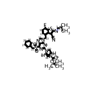 CN(C)/C=N/c1sc2c(F)ccc(Cn3cnc4c(S(=O)(=O)Cc5ccccc5)nc(N5C[C@@H]6C[C@H]5CN6C(=O)OC(C)(C)C)nc43)c2c1C#N